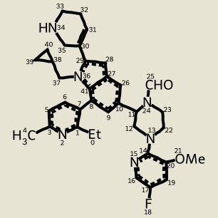 CCc1nc(C)ccc1-c1cc(C2CN(c3ncc(F)cc3OC)CCN2C=O)cc2cc(C3=CCCNC3)n(CC3CC3)c12